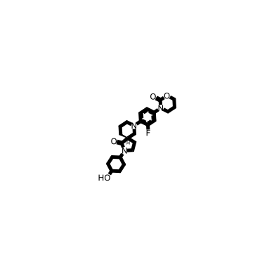 O=C1OCCCN1c1ccc(N2CCC[C@]3(CCN(C4CCC(O)CC4)C3=O)C2)c(F)c1